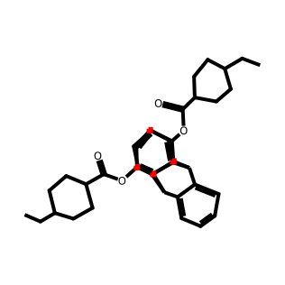 CCC1CCC(C(=O)Oc2ccc(OC(=O)C3CCC(CC)CC3)c3c2C2c4ccccc4C3c3ccccc32)CC1